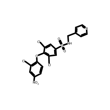 O=[N+]([O-])c1ccc(Oc2c(Cl)cc(S(=O)(=O)NCc3ccncc3)cc2Cl)c(Cl)c1